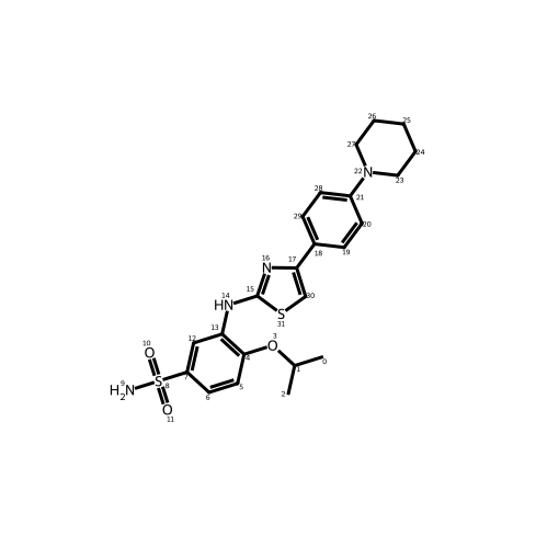 CC(C)Oc1ccc(S(N)(=O)=O)cc1Nc1nc(-c2ccc(N3CCCCC3)cc2)cs1